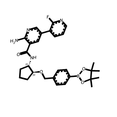 CC1(C)OB(c2ccc(CO[C@H]3CCC[C@@H]3NC(=O)c3cc(-c4cccnc4F)cnc3N)cc2)OC1(C)C